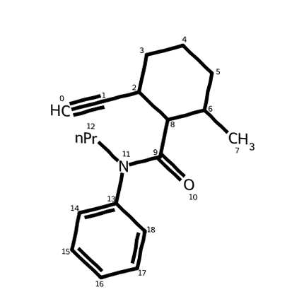 C#CC1CCCC(C)C1C(=O)N(CCC)c1ccccc1